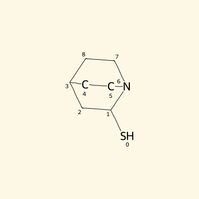 SC1CC2CCN1CC2